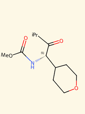 COC(=O)N[C@H](C(=O)C(C)C)C1CCOCC1